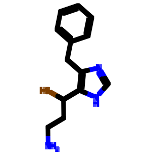 NCCC(S)c1[nH]cnc1Cc1ccccc1